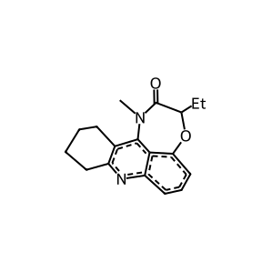 CCC1Oc2cccc3nc4c(c(c23)N(C)C1=O)CCCC4